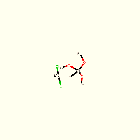 [CH2][Si](OCC)(OCC)OCC.[Cl][Mg][Cl]